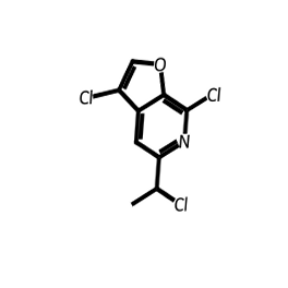 CC(Cl)c1cc2c(Cl)coc2c(Cl)n1